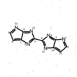 C1=NC2=NC(C3=NC4=CC=NC4=N3)=NC2=C1